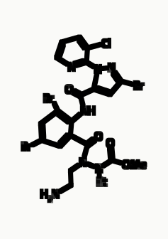 CCN(C(=O)OC)N(CCN)C(=O)c1cc(Br)cc(Br)c1NC(=O)c1cc(Br)nn1-c1ncccc1Cl